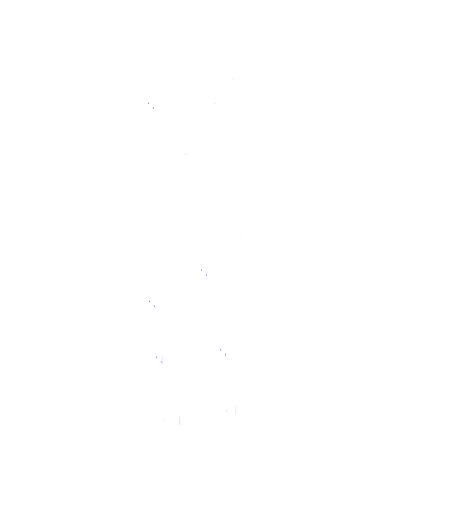 Cc1nc2nc(C3=CC(c4cnc(C5CC5)o4)OCC3)nc(-c3ccc(F)cc3F)c2nc1C